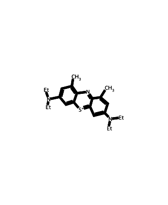 CCN(CC)c1cc(C)c2nc3c(C)cc(N(CC)CC)cc3[s+]c2c1